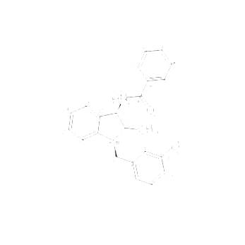 CC1[C@H](NC(=O)c2ccccc2)c2ccccc2[C@@H]1Cc1cccc(Cl)c1